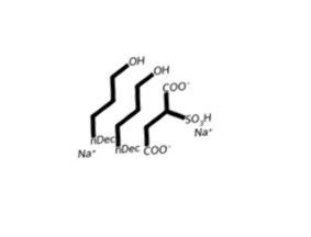 CCCCCCCCCCCCCO.CCCCCCCCCCCCCO.O=C([O-])CC(C(=O)[O-])S(=O)(=O)O.[Na+].[Na+]